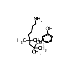 CC(C)(C)CC(C)(C)CCCCN.Oc1ccccc1